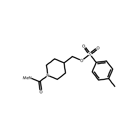 CNC(=O)N1CCC(COS(=O)(=O)c2ccc(C)cc2)CC1